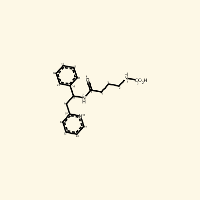 O=C(O)NCCCC(=O)NC(Cc1ccccn1)c1ccccc1